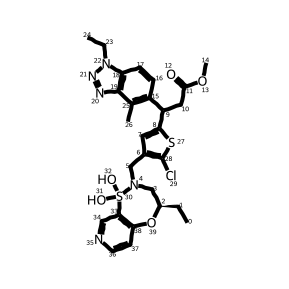 CC[C@@H]1CN(Cc2cc(C(CC(=O)OC)c3ccc4c(nnn4CC)c3C)sc2Cl)S(O)(O)c2cnccc2O1